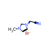 CN1C=C[N+](=CC#N)C1.[Br-]